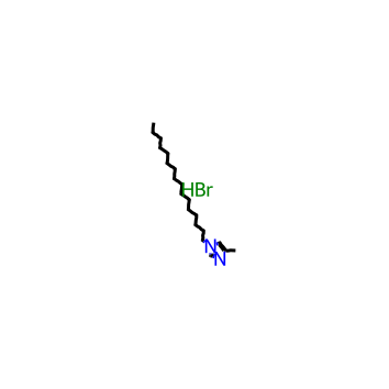 Br.CCCCCCCCCCCCCCCCn1cnc(C)c1